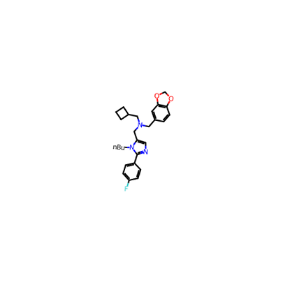 CCCCn1c(CN(Cc2ccc3c(c2)OCO3)CC2CCC2)cnc1-c1ccc(F)cc1